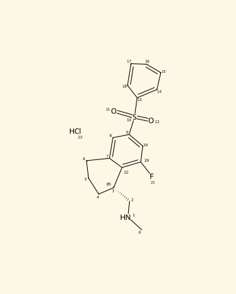 CNC[C@@H]1CCCc2cc(S(=O)(=O)c3ccccc3)cc(F)c21.Cl